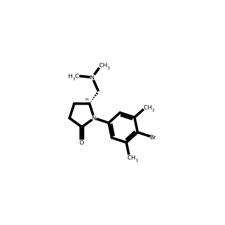 Cc1cc(N2C(=O)CC[C@@H]2CN(C)C)cc(C)c1Br